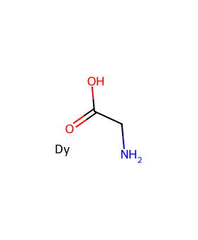 NCC(=O)O.[Dy]